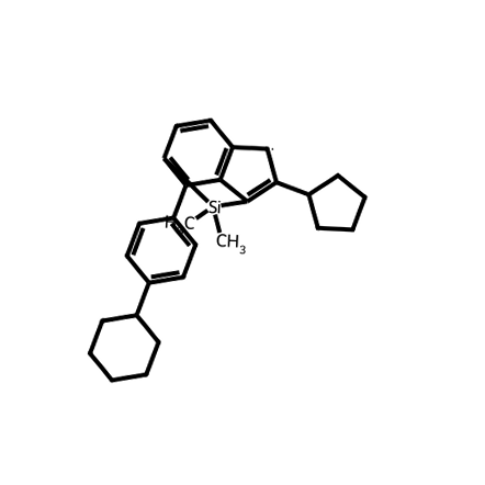 C[Si]1(C)C2=C(C3CCCC3)[CH]c3ccc1c(-c1ccc(C4CCCCC4)cc1)c32